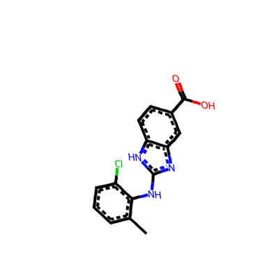 Cc1cccc(Cl)c1Nc1nc2cc(C(=O)O)ccc2[nH]1